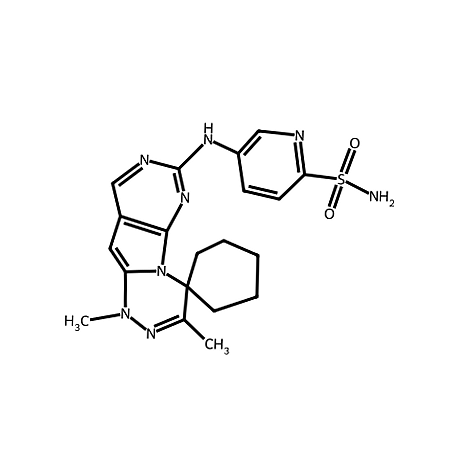 CC1=NN(C)c2cc3cnc(Nc4ccc(S(N)(=O)=O)nc4)nc3n2C12CCCCC2